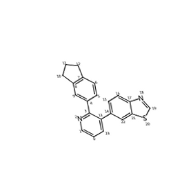 c1cnc(-c2ccc3c(c2)CCC3)c(-c2ccc3ncsc3c2)c1